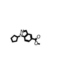 COC(=O)c1ccc2c(cnn2C2CCCC2)c1